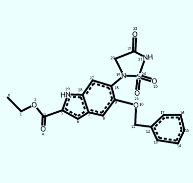 CCOC(=O)c1cc2cc(OCc3ccccc3)c(N3CC(=O)NS3(=O)=O)cc2[nH]1